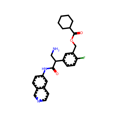 NCC(C(=O)Nc1ccc2cnccc2c1)c1ccc(F)c(COC(=O)C2CCCCC2)c1